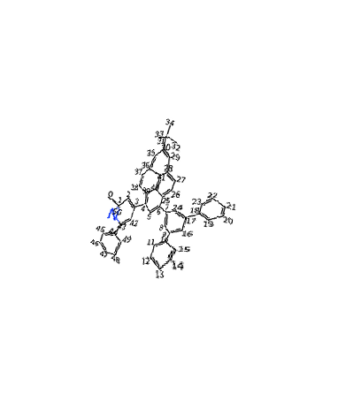 Cc1cc(-c2cc(-c3cc(-c4ccccc4)cc(-c4ccccc4)c3)c3ccc4cc(C(C)(C)C)cc5ccc2c3c45)cc(-c2ccccc2)n1